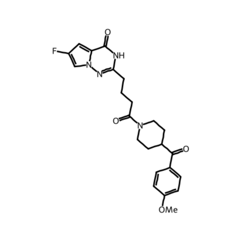 COc1ccc(C(=O)C2CCN(C(=O)CCCc3nn4cc(F)cc4c(=O)[nH]3)CC2)cc1